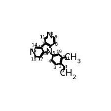 C=Cc1ccc(-n2c3ccncc3c3cnccc32)cc1C